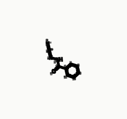 [N-]=[N+]=NNC(=O)c1ccccc1